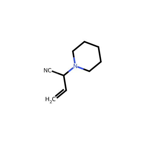 C=CC(C#N)N1CCCCC1